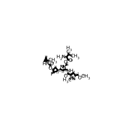 COCc1cc(C(=O)Nc2cc([C@@H]3C[C@H](F)[C@H](OC(=O)NC4(C)CC4)C3)nn2COC(=O)[C@@H](N)C(C)C)n(C)n1